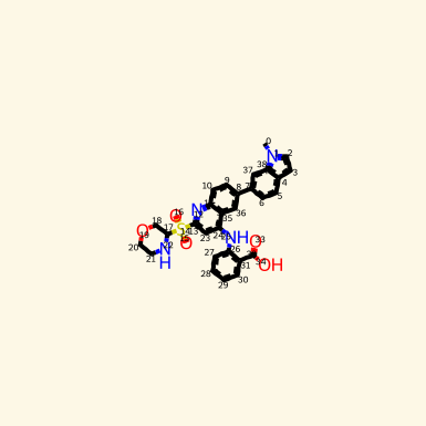 Cn1ccc2ccc(-c3ccc4nc(S(=O)(=O)C5COCCN5)cc(Nc5ccccc5C(=O)O)c4c3)cc21